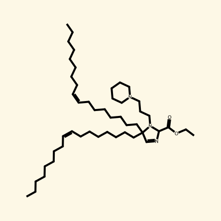 CCCCCCCC/C=C\CCCCCCCC1(CCCCCCC/C=C\CCCCCCCC)C=NC(C(=O)OCC)N1CCCN1CCCCC1